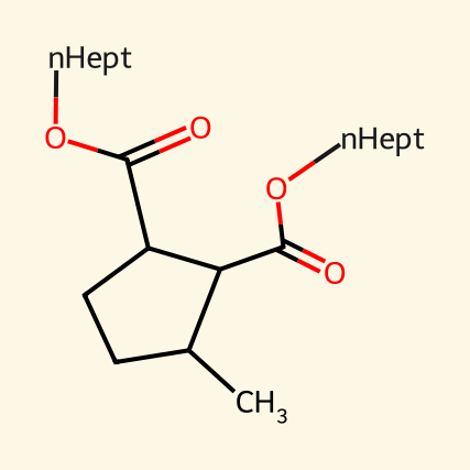 CCCCCCCOC(=O)C1CCC(C)C1C(=O)OCCCCCCC